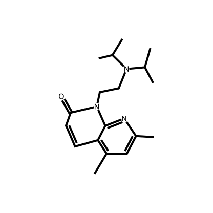 Cc1cc(C)c2ccc(=O)n(CCN(C(C)C)C(C)C)c2n1